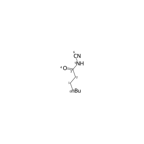 CCCCCCC(=O)NC#N